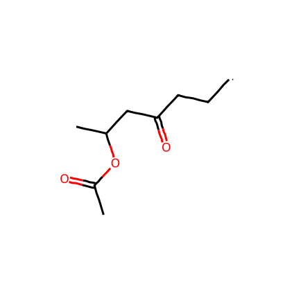 [CH2]CCC(=O)CC(C)OC(C)=O